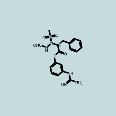 CS(=O)(=O)N(NC=O)[C@@H](Cc1ccccc1)C(=O)Oc1cccc(NC(=N)N)c1